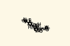 Cn1cc(-c2ccc(CNc3ccnc(NC(=O)CCc4ccco4)c3[N+](=O)[O-])cc2F)cn1